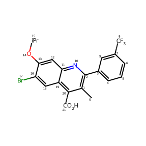 Cc1c(-c2cccc(C(F)(F)F)c2)nc2cc(OC(C)C)c(Br)cc2c1C(=O)O